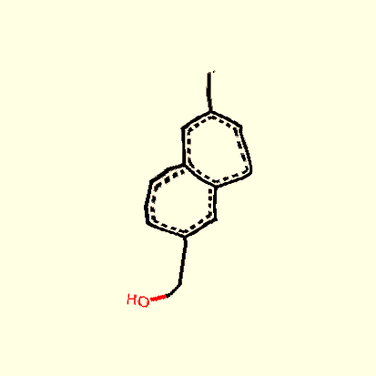 [CH2]c1ccc2cc(CO)ccc2c1